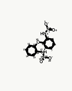 O=[N+]([O-])Nc1ccccc1Oc1ccccc1N[N+](=O)[O-]